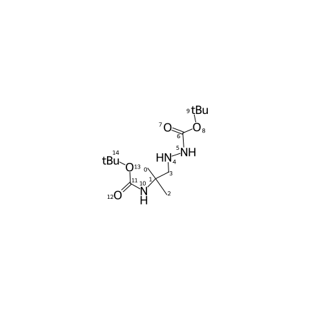 CC(C)(CNNC(=O)OC(C)(C)C)NC(=O)OC(C)(C)C